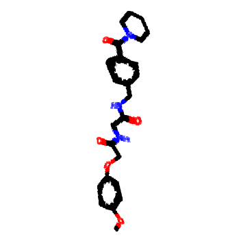 COc1ccc(OCC(=O)NCC(=O)NCc2ccc(C(=O)N3CCCCC3)cc2)cc1